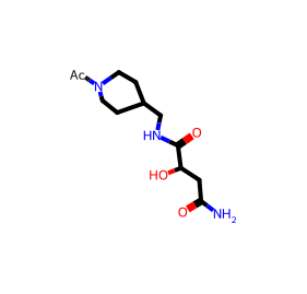 CC(=O)N1CCC(CNC(=O)C(O)CC(N)=O)CC1